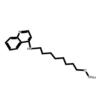 CCCCCCOCCCCCCCCNc1ccnc2ccccc12